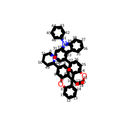 C1=NC(c2ccc3c(c2)Oc2ccccc2C32c3ccccc3Oc3ccc(-c4cccc5c4c4ccccc4n5-c4ccccc4)cc32)=CCC1